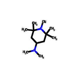 CN(C)C1CC(C)(C)N(C#N)C(C)(C)C1